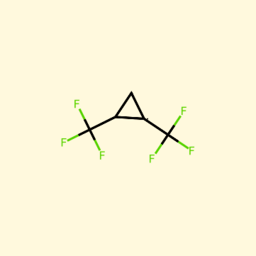 FC(F)(F)[C]1CC1C(F)(F)F